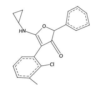 Cc1cccc(C2=C(NC3CC3)OC(c3ccccc3)C2=O)c1Cl